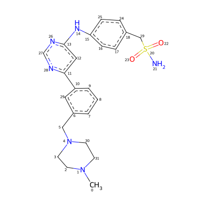 CN1CCN(Cc2cccc(-c3cc(Nc4ccc(CS(N)(=O)=O)cc4)ncn3)c2)CC1